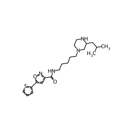 CC(C)CC1CN(CCCCCNC(=O)c2cc(-c3cccs3)on2)CCN1